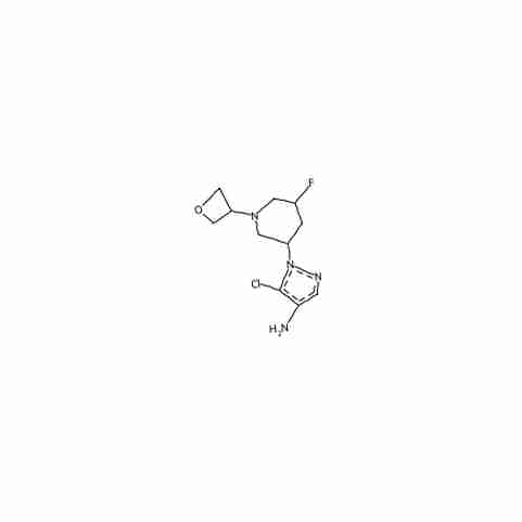 Nc1cnn(C2CC(F)CN(C3COC3)C2)c1Cl